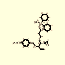 C=CC(OCc1ccc(OC)cc1)C(OCCCO[Si](c1ccccc1)(c1ccccc1)C(C)(C)C)[C@H]1CO1